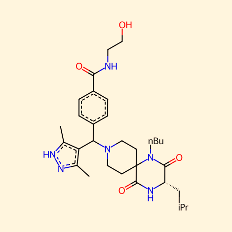 CCCCN1C(=O)[C@H](CC(C)C)NC(=O)C12CCN(C(c1ccc(C(=O)NCCO)cc1)c1c(C)n[nH]c1C)CC2